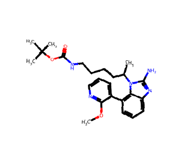 COc1ncccc1-c1cccc2nc(N)n(C(C)CCCCNC(=O)OC(C)(C)C)c12